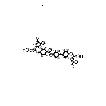 C=CC(=O)OC(CCCC)Oc1ccc(-c2ccc(OC(=O)c3ccc(OC(CCCCCCCC)C4CC(=C)C(=O)O4)cc3)cc2)cc1